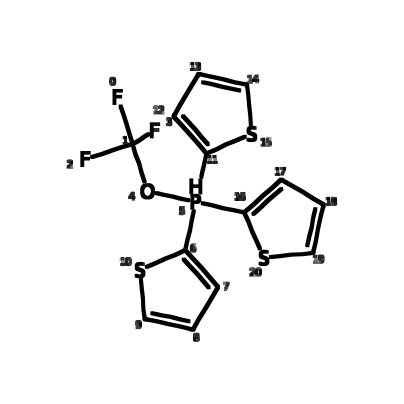 FC(F)(F)O[PH](c1cccs1)(c1cccs1)c1cccs1